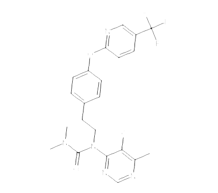 Cc1ncnc(N(CCc2ccc(Oc3ccc(C(F)(F)F)cn3)cc2)C(=O)N(C)C)c1Cl